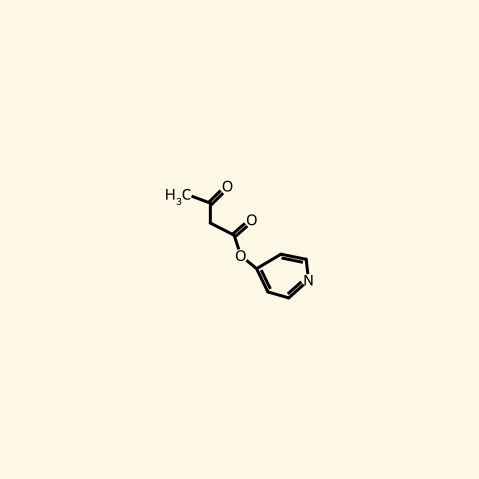 CC(=O)CC(=O)Oc1ccncc1